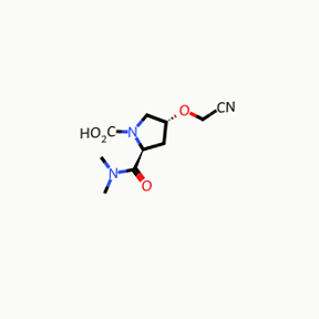 CN(C)C(=O)[C@@H]1C[C@@H](OCC#N)CN1C(=O)O